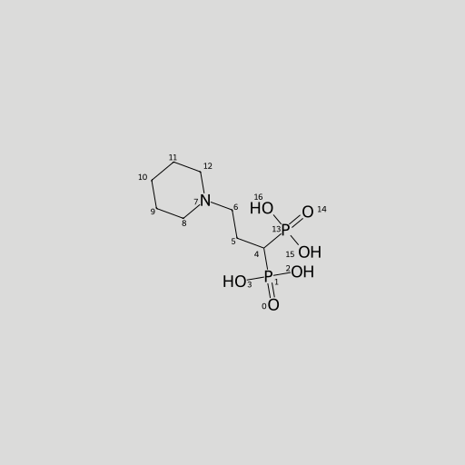 O=P(O)(O)C(CCN1CCCCC1)P(=O)(O)O